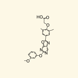 COc1cccc(Oc2ncc3nc(-c4cc(C)c(OCC(=O)O)c(C)c4)oc3n2)c1